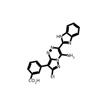 CCc1nn2c(N)c(-c3nc4ccccc4[nH]3)nnc2c1-c1cccc(C(=O)O)c1